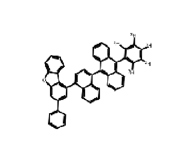 [2H]c1c([2H])c([2H])c(-c2c3ccccc3c(-c3ccc(-c4cc(-c5ccccc5)cc5oc6ccccc6c45)c4ccccc34)c3ccccc23)c([2H])c1[2H]